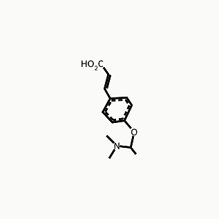 CC(Oc1ccc(C=CC(=O)O)cc1)N(C)C